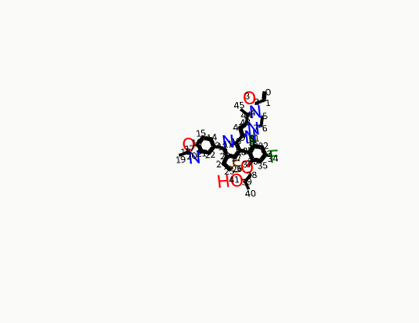 C=CC(=O)N1CCn2nc(-c3nc(-c4ccc5oc(C)nc5c4)c4ccsc4c3-c3c(F)cc(F)cc3OCC(C)O)cc2C1C